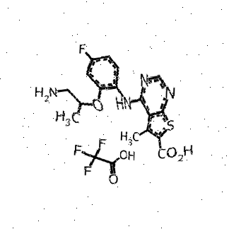 Cc1c(C(=O)O)sc2ncnc(Nc3ccc(F)cc3OC(C)CN)c12.O=C(O)C(F)(F)F